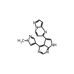 Cn1cc(-c2ncnc3[nH]cc(-c4ccn5nccc5n4)c23)cn1